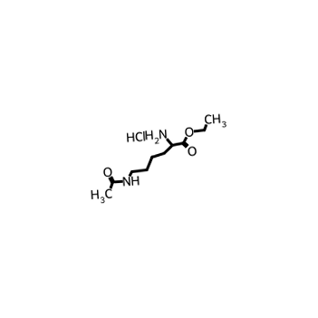 CCOC(=O)C(N)CCCCNC(C)=O.Cl